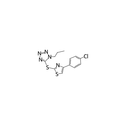 CCCn1nnnc1Sc1nc(-c2ccc(Cl)cc2)cs1